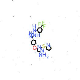 Nc1cc(Oc2ccc(-c3nnc(Nc4cccc(C(F)(F)F)c4)[nH]3)cc2)nc(Sc2ccccn2)n1